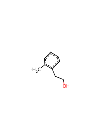 [CH2]c1ccccc1CCO